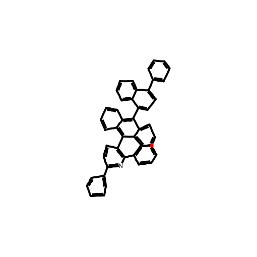 c1ccc(-c2ccc(-c3c4ccccc4c(-c4ccc(-c5ccccc5)c5ccccc45)c4ccccc34)c(-c3ccccc3)n2)cc1